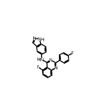 Fc1ccc(-c2nc(Nc3ccc4[nH]ncc4c3)c3c(F)cccc3n2)cc1